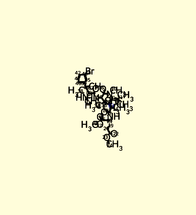 CN[C@@H](C(=O)NC(C(=O)N(C)[C@H](/C=C(\C)C(=O)N[C@H](CCC(=O)OC)C(=O)OC)C(C)C)C(C)(C)C)C(C)(C)c1cccc(Br)c1